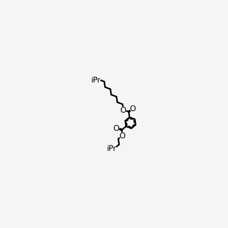 CC(C)CCCCCCCOC(=O)c1cccc(C(=O)OCCC(C)C)c1